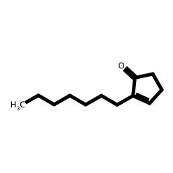 CCCCCCCC1=CCCC1=O